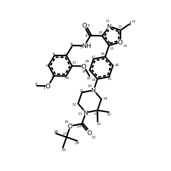 COc1ccc(CNC(=O)c2nc(I)oc2-c2ccc(N3CCN(C(=O)OC(C)(C)C)C(C)(C)C3)cc2)c(OC)c1